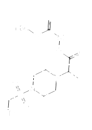 CCCCOC(=O)NOC(=O)C(C)N1CCN(S(=O)(=O)CC(C)C)CC1